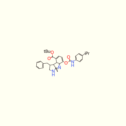 CC(C)c1ccc(NC(=O)OC2=CC=C(C(=O)OC(C)(C)C)C3C2=N[C@]2(C)NCC(Cc4ccccc4)C32)cc1